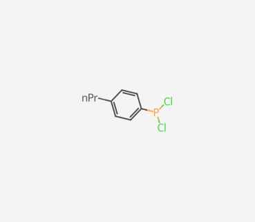 CCCc1ccc(P(Cl)Cl)cc1